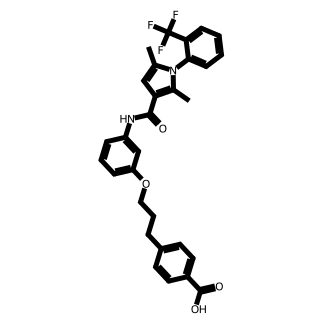 Cc1cc(C(=O)Nc2cccc(OCCCc3ccc(C(=O)O)cc3)c2)c(C)n1-c1ccccc1C(F)(F)F